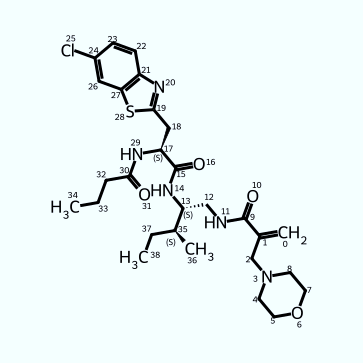 C=C(CN1CCOCC1)C(=O)NC[C@@H](NC(=O)[C@H](Cc1nc2ccc(Cl)cc2s1)NC(=O)CCC)[C@@H](C)CC